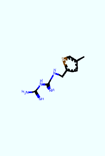 Cc1csc(CNC(=N)NC(=N)N)c1